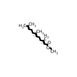 CCOC(=O)/C=C(\C)CC/C=C(\C)CCC=C(C)C